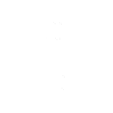 Cc1nn(C)c(C)c1N[S+]([O-])c1cccc(CCCN2CCN(C)CC2)c1